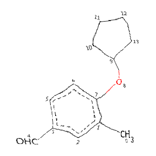 Cc1cc(C=O)ccc1OC1CCCC1